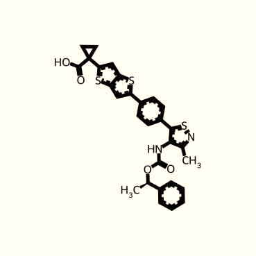 Cc1nsc(-c2ccc(-c3cc4sc(C5(C(=O)O)CC5)cc4s3)cc2)c1NC(=O)O[C@H](C)c1ccccc1